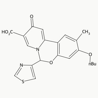 CCCCOc1cc2c(cc1C)-c1cc(=O)c(C(=O)O)cn1C(c1cscn1)O2